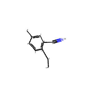 CCc1ccc(C)cc1C#N